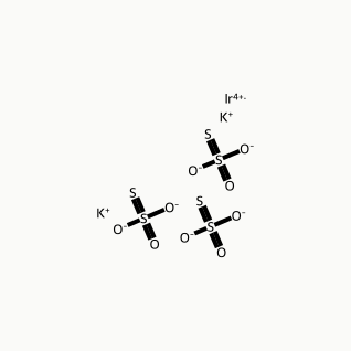 O=S([O-])([O-])=S.O=S([O-])([O-])=S.O=S([O-])([O-])=S.[Ir+4].[K+].[K+]